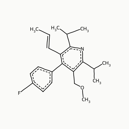 C/C=C/c1c(C(C)C)nc(C(C)C)c(COC)c1-c1ccc(F)cc1